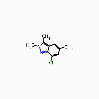 Cc1cc(Cl)c2nn(C)c(C)c2c1